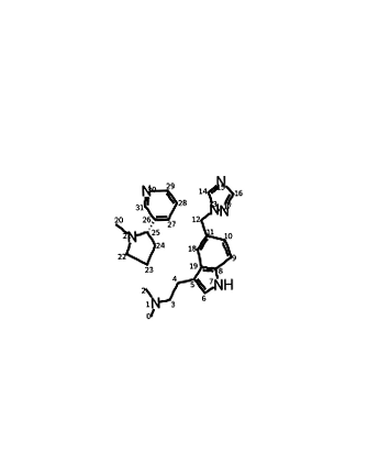 CN(C)CCc1c[nH]c2ccc(Cn3cncn3)cc12.CN1CCC[C@H]1c1cccnc1